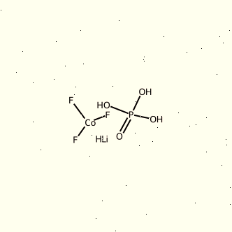 O=P(O)(O)O.[F][Co]([F])[F].[LiH]